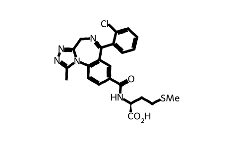 CSCC[C@H](NC(=O)c1ccc2c(c1)C(c1ccccc1Cl)=NCc1nnc(C)n1-2)C(=O)O